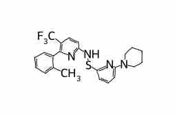 Cc1ccccc1-c1nc(NSc2cccc(N3CCCCC3)n2)ccc1C(F)(F)F